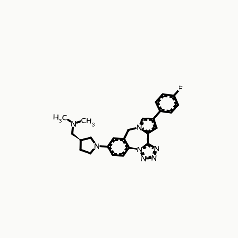 CN(C)C[C@@H]1CCN(c2ccc3c(c2)Cn2cc(-c4ccc(F)cc4)cc2-c2nnnn2-3)C1